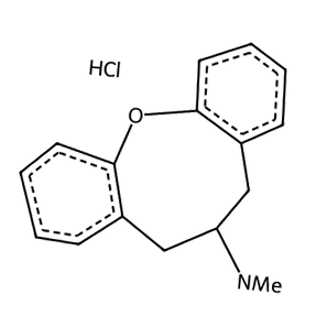 CNC1Cc2ccccc2Oc2ccccc2C1.Cl